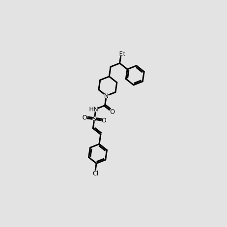 CCC(CC1CCN(C(=O)NS(=O)(=O)C=Cc2ccc(Cl)cc2)CC1)c1ccccc1